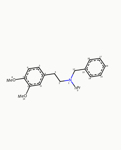 CCCN(CCc1ccc(OC)c(OC)c1)Cc1ccccc1